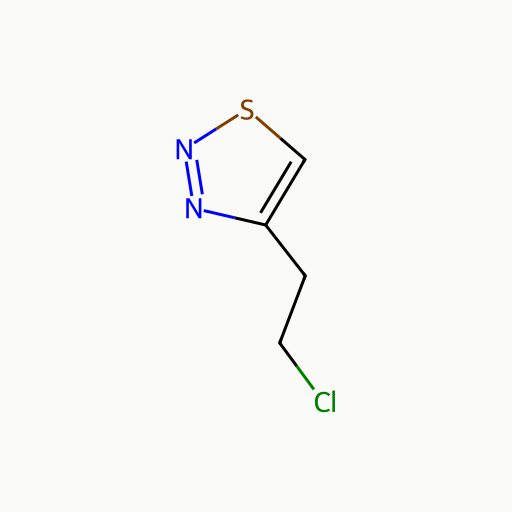 ClCCc1csnn1